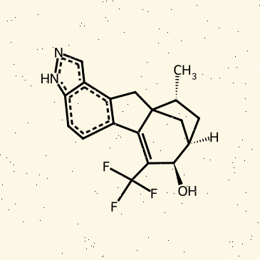 C[C@@H]1C[C@@H]2CC13Cc1c(ccc4[nH]ncc14)C3=C(C(F)(F)F)[C@@H]2O